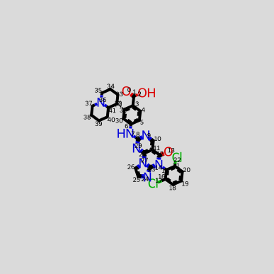 O=C(O)c1ccc(Nc2ncc3c(=O)n(-c4c(Cl)cccc4Cl)c4nccn4c3n2)cc1[C@H]1CCCN2CCCCC12